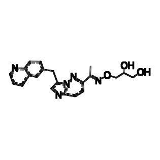 C/C(=N\OCC(O)CO)c1ccc2ncc(Cc3ccc4ncccc4c3)n2n1